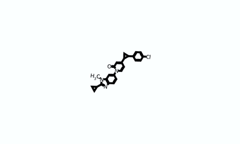 Cn1c(C2CC2)nc2ccc(-n3ccc(C4CC4c4ccc(Cl)cc4)cc3=O)cc21